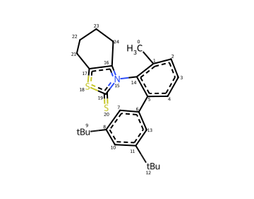 Cc1cccc(-c2cc(C(C)(C)C)cc(C(C)(C)C)c2)c1-n1c2c(sc1=S)CCCC2